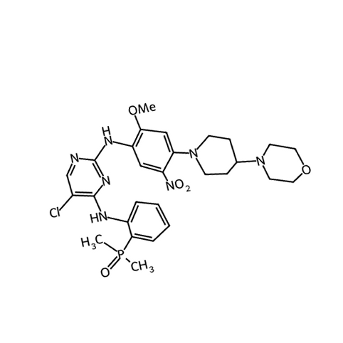 COc1cc(N2CCC(N3CCOCC3)CC2)c([N+](=O)[O-])cc1Nc1ncc(Cl)c(Nc2ccccc2P(C)(C)=O)n1